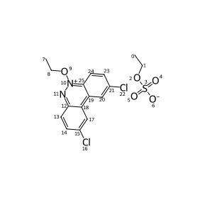 CCOS(=O)(=O)[O-].CCO[n+]1nc2ccc(Cl)cc2c2cc(Cl)ccc21